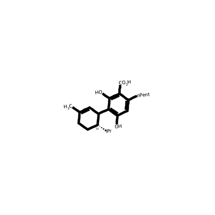 CCCCCc1cc(O)c(C2C=C(C)CC[C@H]2C(C)C)c(O)c1C(=O)O